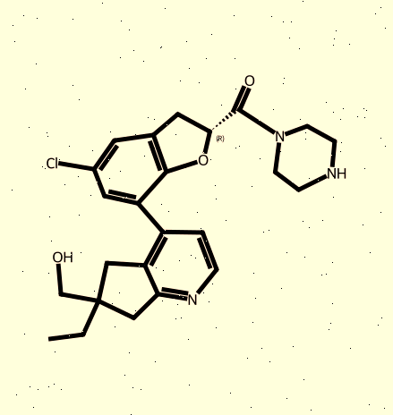 CCC1(CO)Cc2nccc(-c3cc(Cl)cc4c3O[C@@H](C(=O)N3CCNCC3)C4)c2C1